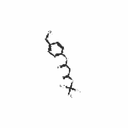 CCc1ccc(OC(=O)CC(=O)OC(C)(C)C)cc1